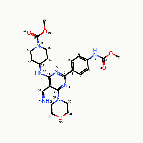 COC(=O)Nc1ccc(-c2nc(NC3CCN(C(=O)OC)CC3)c(C=N)c(N3CCOCC3)n2)cc1